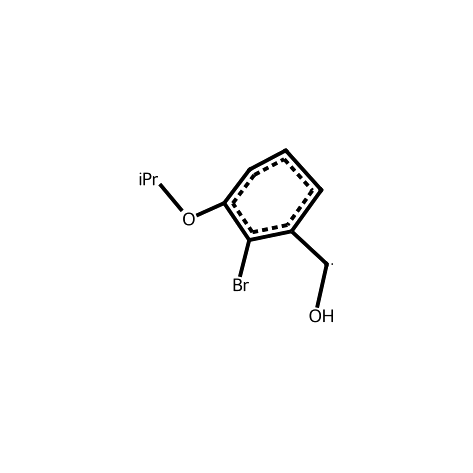 CC(C)Oc1cccc([CH]O)c1Br